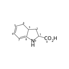 O=C(O)C1CC2CC=CC=C2N1